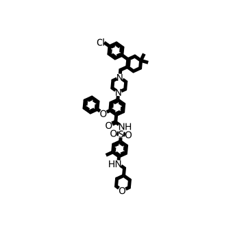 Cc1cc(S(=O)(=O)NC(=O)c2ccc(N3CCN(CC4=C(c5ccc(Cl)cc5)CC(C)(C)CC4)CC3)cc2Oc2ccccc2)ccc1NCC1CCOCC1